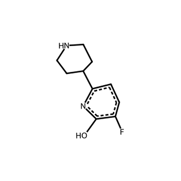 Oc1nc(C2CCNCC2)ccc1F